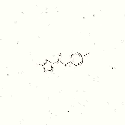 Cc1ccc(OC(=O)c2noc(C)n2)cc1